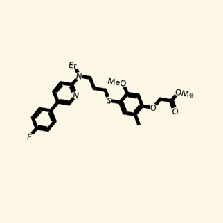 CCN(CCCSc1cc(C)c(OCC(=O)OC)cc1OC)c1ccc(-c2ccc(F)cc2)cn1